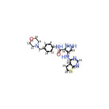 O=C(Nc1ccc(CN2CCOCC2)cc1)c1n[nH]cc1Nc1ncnc2sccc12